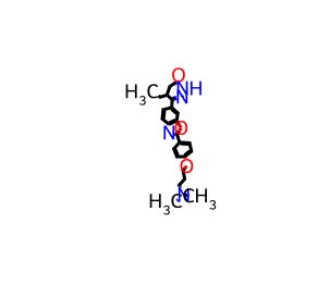 CCC1CC(=O)NN=C1c1ccc2nc(-c3ccc(OCCCN(C)C)cc3)oc2c1